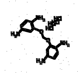 Cl.Cl.Cl.Cl.Nc1ccc(N)c(OCOc2cc(N)ccc2N)c1